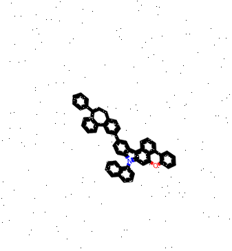 c1ccc(C2CCc3ccc(-c4ccc5c(c4)c4c6cccc7c6c(cc4n5-c4cccc5ccccc45)Oc4ccccc4-7)cc3-c3ccccc32)cc1